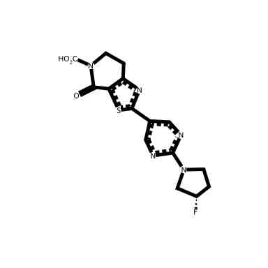 O=C(O)N1CCc2nc(-c3cnc(N4CC[C@H](F)C4)nc3)sc2C1=O